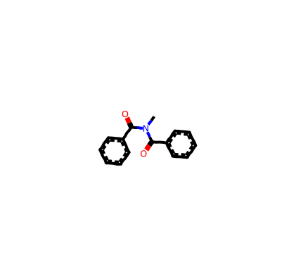 CN(C(=O)c1ccccc1)C(=O)c1ccccc1